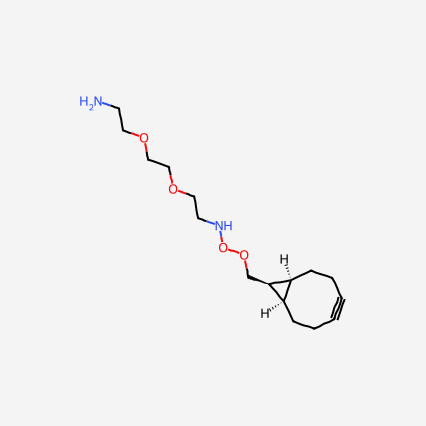 NCCOCCOCCNOOC[C@@H]1[C@@H]2CCC#CCC[C@@H]21